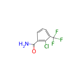 NC(=O)c1cccc(C(F)(F)F)c1Cl